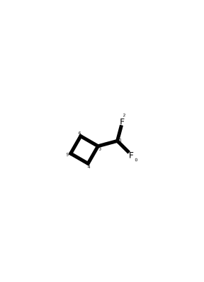 F[C](F)C1CCC1